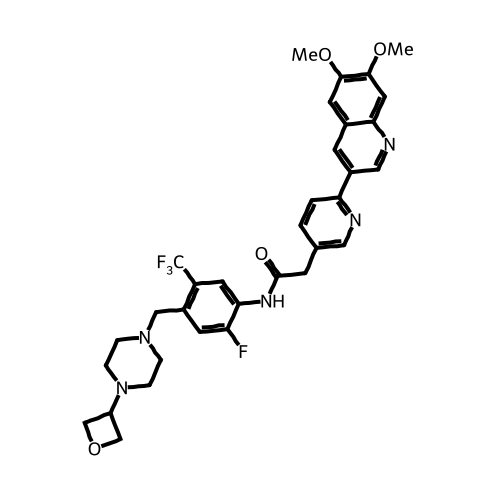 COc1cc2cc(-c3ccc(CC(=O)Nc4cc(C(F)(F)F)c(CN5CCN(C6COC6)CC5)cc4F)cn3)cnc2cc1OC